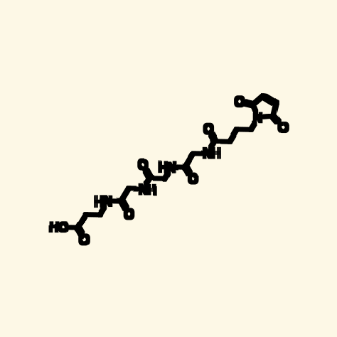 O=C(O)CCNC(=O)CNC(=O)CNC(=O)CNC(=O)CCCN1C(=O)C=CC1=O